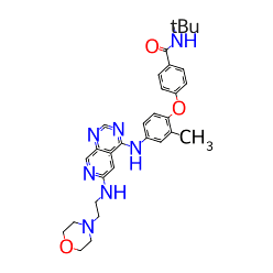 Cc1cc(Nc2ncnc3cnc(NCCN4CCOCC4)cc23)ccc1Oc1ccc(C(=O)NC(C)(C)C)cc1